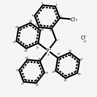 Clc1ccccc1C[P+](c1ccccc1)(c1ccccc1)c1ccccc1.[Cl-]